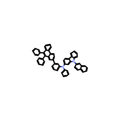 c1ccc(-c2c(-c3ccccc3)c3cc(-c4cccc(N(c5ccccc5)c5ccc6c7ccccc7n(-c7ccc8ccccc8c7)c6c5)c4)ccc3c3ccccc23)cc1